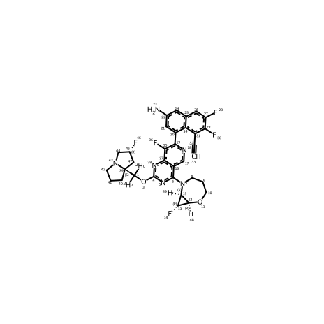 [2H]C([2H])(Oc1nc(N2CCCO[C@H]3[C@H](F)[C@H]32)c2cnc(-c3cc(N)cc4cc(F)c(F)c(C#C)c34)c(F)c2n1)[C@@]12CCCN1C[C@H](F)C2